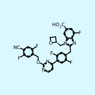 N#Cc1cc(F)c(COc2nccc(-c3cc(F)c(Cc4nc5c(F)cc(C(=O)O)cc5n4C[C@@H]4CCO4)cc3F)n2)cc1F